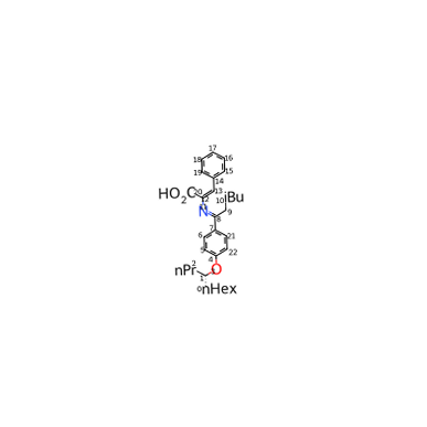 CCCCCC[C@H](CCC)Oc1ccc(C(CC(C)CC)=NC(=Cc2ccccc2)C(=O)O)cc1